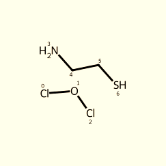 ClOCl.NCCS